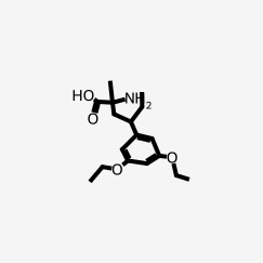 CCOc1cc(OCC)cc(C(CC)CC(C)(N)C(=O)O)c1